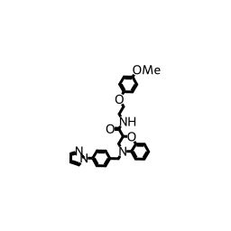 COc1ccc(OCCNC(=O)C2CN(Cc3ccc(-n4cccn4)cc3)c3ccccc3O2)cc1